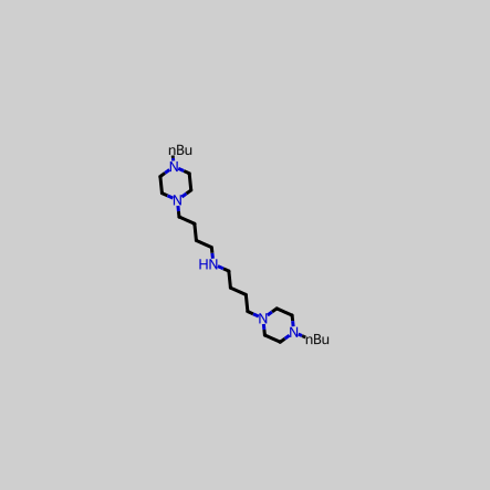 CCCCN1CCN(CCCCNCCCCN2CCN(CCCC)CC2)CC1